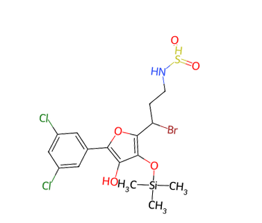 C[Si](C)(C)Oc1c(C(Br)CCN[SH](=O)=O)oc(-c2cc(Cl)cc(Cl)c2)c1O